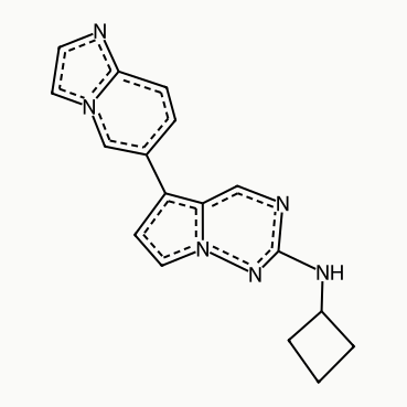 c1cn2cc(-c3ccn4nc(NC5CCC5)ncc34)ccc2n1